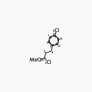 COC(Cl)CCc1ccc(Cl)cc1